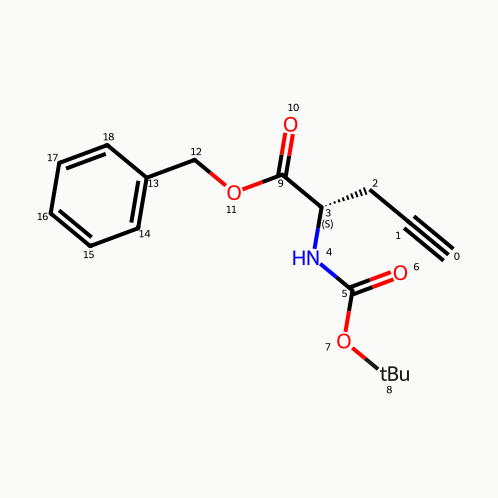 C#CC[C@H](NC(=O)OC(C)(C)C)C(=O)OCc1ccccc1